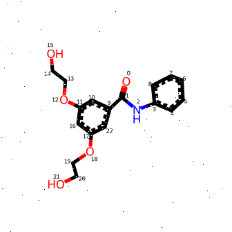 O=C(Nc1ccccc1)c1cc(OCCO)cc(OCCO)c1